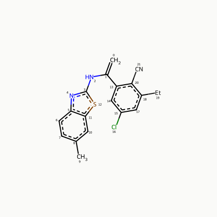 C=C(Nc1nc2ccc(C)cc2s1)c1cc(Cl)cc(CC)c1C#N